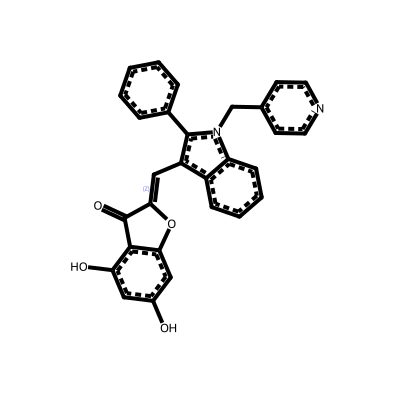 O=C1/C(=C/c2c(-c3ccccc3)n(Cc3ccncc3)c3ccccc23)Oc2cc(O)cc(O)c21